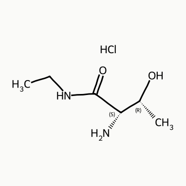 CCNC(=O)[C@@H](N)[C@@H](C)O.Cl